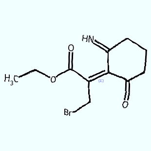 CCOC(=O)/C(CBr)=C1\C(=N)CCCC1=O